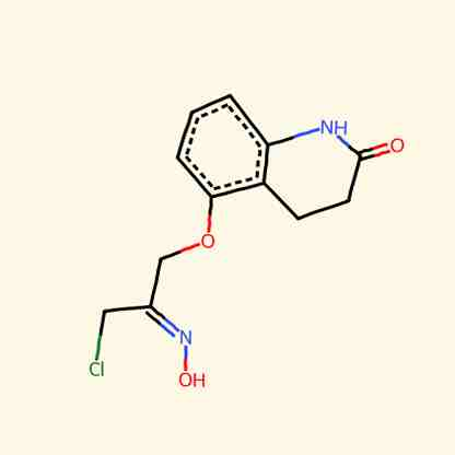 O=C1CCc2c(cccc2OCC(CCl)=NO)N1